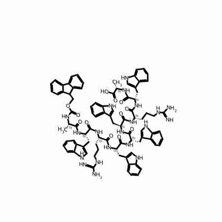 C[C@H](NC(=O)[C@H](Cc1c[nH]c2ccccc12)NC(=O)[C@H](CCCNC(=N)N)NC(=O)[C@H](Cc1c[nH]c2ccccc12)NC(=O)[C@H](Cc1c[nH]c2ccccc12)NC(=O)[C@H](Cc1c[nH]c2ccccc12)NC(=O)[C@H](CCCNC(=N)N)NC(=O)[C@H](Cc1c[nH]c2ccccc12)NC(=O)[C@H](C)NC(=O)OCC1c2ccccc2-c2ccccc21)C(=O)O